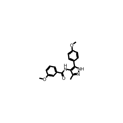 COc1ccc(-c2[nH]nc(C)c2NC(=O)c2cccc(OC)c2)cc1